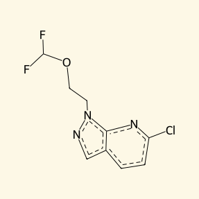 FC(F)OCCn1ncc2ccc(Cl)nc21